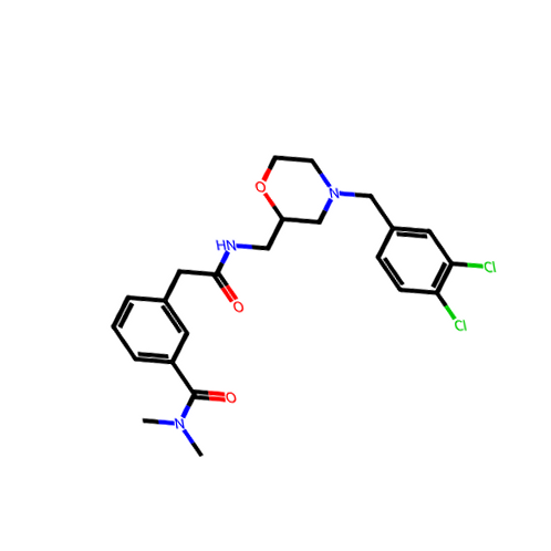 CN(C)C(=O)c1cccc(CC(=O)NCC2CN(Cc3ccc(Cl)c(Cl)c3)CCO2)c1